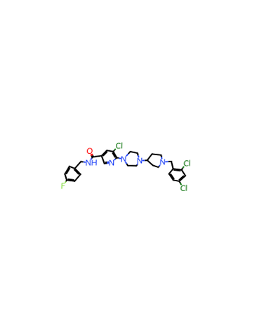 O=C(NCc1ccc(F)cc1)c1cnc(N2CCN(C3CCN(Cc4ccc(Cl)cc4Cl)CC3)CC2)c(Cl)c1